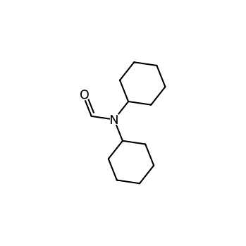 O=CN(C1CCCCC1)C1CCCCC1